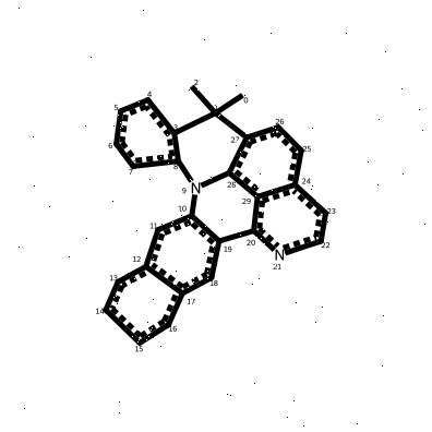 CC1(C)c2ccccc2N2c3cc4ccccc4cc3-c3nccc4ccc1c2c34